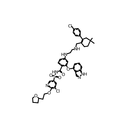 CC1(C)CCC(CNCCNc2ccc(C(=O)NS(=O)(=O)c3cnc(OCCC4CCCO4)c(Cl)c3)c(Oc3cccc4[nH]ncc34)c2)=C(c2ccc(Cl)cc2)C1